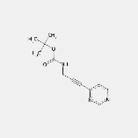 CC(C)(C)OC(=O)NCC#Cc1ccncn1